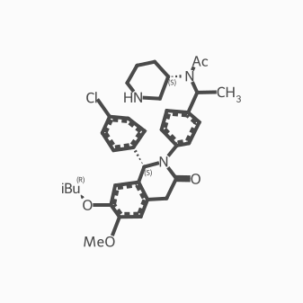 CC[C@@H](C)Oc1cc2c(cc1OC)CC(=O)N(c1ccc(C(C)N(C(C)=O)[C@H]3CCCNC3)cc1)[C@H]2c1ccc(Cl)cc1